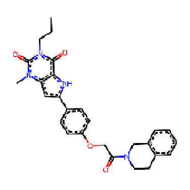 CCCn1c(=O)c2[nH]c(-c3ccc(OCC(=O)N4CCc5ccccc5C4)cc3)cc2n(C)c1=O